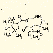 CC1(C)CC(C(=O)N(CCN)C(=O)C2CC(C)(C)N([O])C2(C)C)C(C)(C)N1[O]